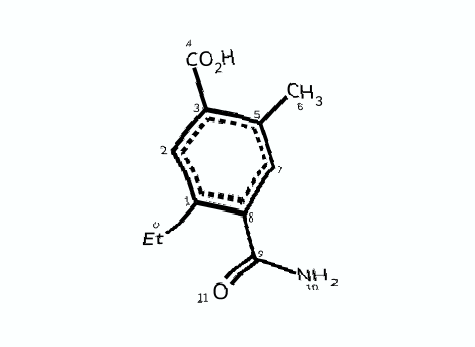 CCc1cc(C(=O)O)c(C)cc1C(N)=O